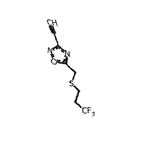 C#Cc1noc(CSCCC(F)(F)F)n1